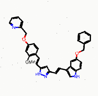 COc1cc(OCc2ccccn2)ccc1C=Cc1cc(C=Cc2c[nH]c3ccc(OCc4ccccc4)cc23)n[nH]1